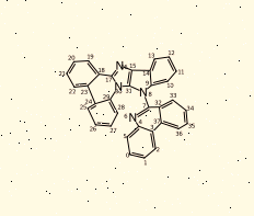 c1ccc2c(c1)nc(-n1c3ccccc3c3nc4c5ccccc5c5ccccc5n4c31)c1ccccc12